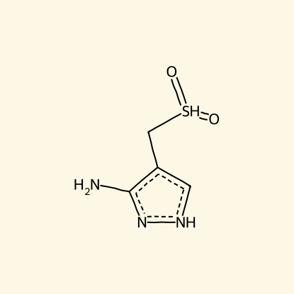 Nc1n[nH]cc1C[SH](=O)=O